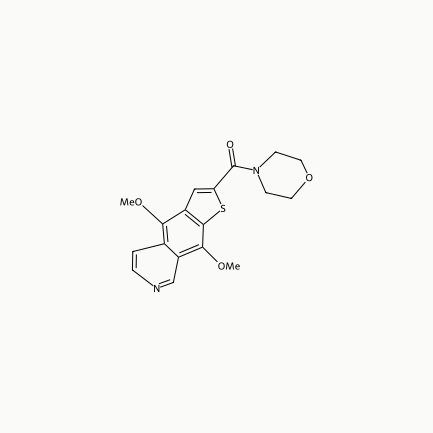 COc1c2ccncc2c(OC)c2sc(C(=O)N3CCOCC3)cc12